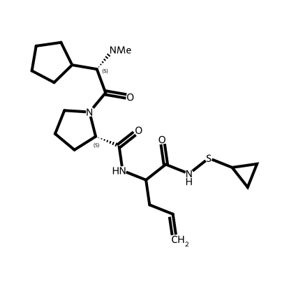 C=CCC(NC(=O)[C@@H]1CCCN1C(=O)[C@@H](NC)C1CCCC1)C(=O)NSC1CC1